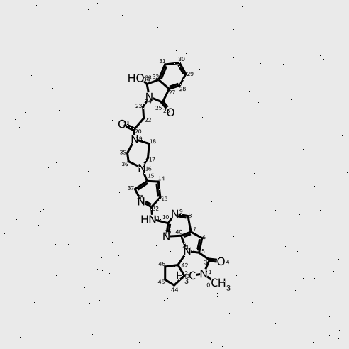 CN(C)C(=O)c1cc2cnc(Nc3ccc(N4CCN(C(=O)CCN5C(=O)c6ccccc6C5O)CC4)cn3)nc2n1C1CCCC1